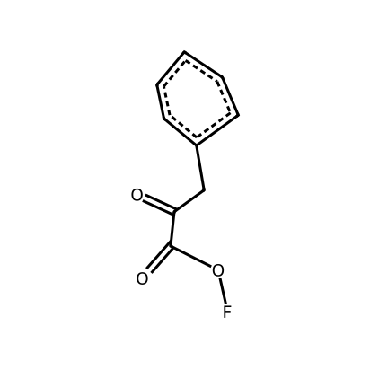 O=C(Cc1ccccc1)C(=O)OF